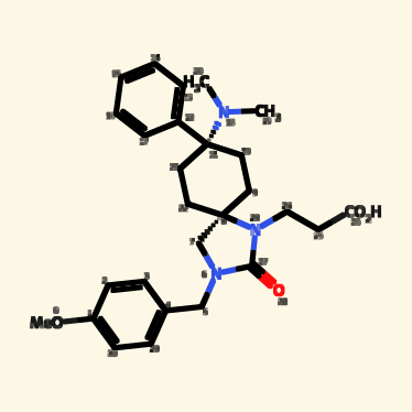 COc1ccc(CN2C[C@]3(CC[C@@](c4ccccc4)(N(C)C)CC3)N(CCC(=O)O)C2=O)cc1